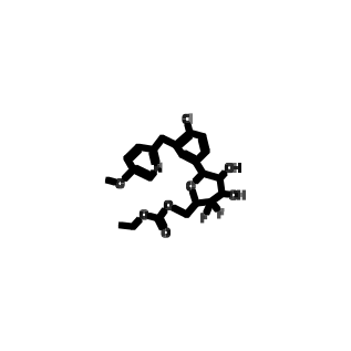 CCOC(=O)OCC1OC(c2ccc(Cl)c(Cc3ccc(OC)cn3)c2)C(O)C(O)C1(F)F